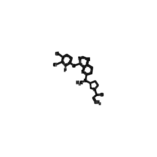 C=CC(=O)N1CCC(N(C)c2ccc3ncnc(Oc4ccc(Cl)c(Cl)c4F)c3n2)C1